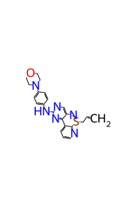 C=CCS1=Nc2cnc(Nc3ccc(N4CCOCC4)cc3)nc2-c2cccnc21